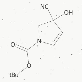 CC(C)(C)OC(=O)N1C=CC(O)(C#N)C1